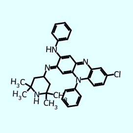 CC1(C)CC(N=c2cc3n(-c4ccccc4)c4ccc(Cl)cc4nc-3cc2Nc2ccccc2)CC(C)(C)N1